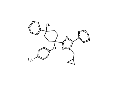 N#C[C@]1(c2ccccc2)CC[C@@](Oc2ccc(C(F)(F)F)cc2)(c2nc(-c3ccccc3)n(CC3CC3)n2)CC1